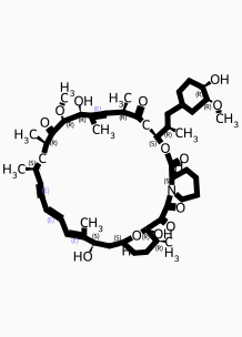 CO[C@@H]1CC(C[C@@H](C)[C@@H]2CC(=O)[C@H](C)/C=C(\C)[C@@H](O)[C@@H](OC)C(=O)[C@H](C)C[C@H](C)/C=C/C=C/C=C(\C)[C@@H](O)C[C@@H]3CC[C@@H](C)[C@@](O)(O3)C(=O)C(=O)N3CCCC[C@H]3C(=O)O2)CC[C@H]1O